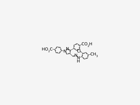 Cc1ccc(N/N=C/c2cn(-c3ccc(C(=O)O)cc3)nc2-c2ccc(C(=O)O)cc2)c(Cl)c1